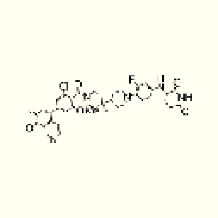 COc1cc(-c2cn(C)c(=O)c3cnccc23)cc(Cl)c1C(=O)N1CCC(F)(C2CCN(c3ccc(NC4CCC(=O)NC4=O)cc3F)CC2)CC1